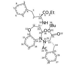 CCOC(=O)[C@H](CCc1ccccc1)N[C@H]1COc2ccccc2N(N(C(C)=O)[C@@H](Cc2ccccc2)C(=O)OC(C)(C)C)C1=O